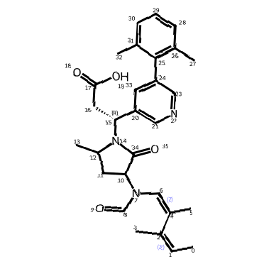 C/C=C(C)\C(C)=C/N(C=O)C1CC(C)N([C@H](CC(=O)O)c2cncc(-c3c(C)cccc3C)c2)C1=O